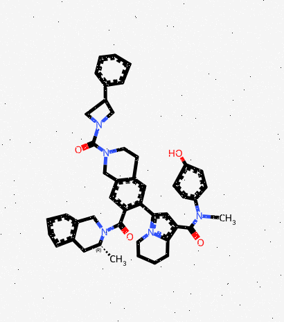 C[C@@H]1Cc2ccccc2CN1C(=O)c1cc2c(cc1-c1cc(C(=O)N(C)c3ccc(O)cc3)c3n1CCCC3)CCN(C(=O)N1CC(c3ccccc3)C1)C2